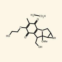 COC12C(CO)C3=C(C(=O)C(C)=C(OCCO)C3=O)N1CC1NC12.NC(=O)O